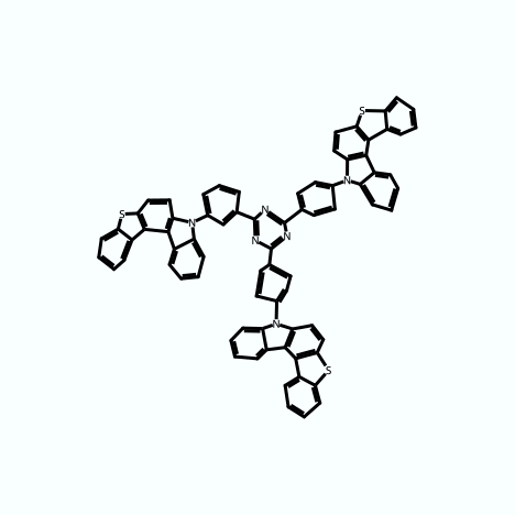 c1cc(-c2nc(-c3ccc(-n4c5ccccc5c5c6c(ccc54)sc4ccccc46)cc3)nc(-c3ccc(-n4c5ccccc5c5c6c(ccc54)sc4ccccc46)cc3)n2)cc(-n2c3ccccc3c3c4c(ccc32)sc2ccccc24)c1